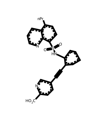 CCCc1ccc(S(=O)(=O)Nc2ccccc2C#Cc2ccc(C(=O)O)nc2)c2ncccc12